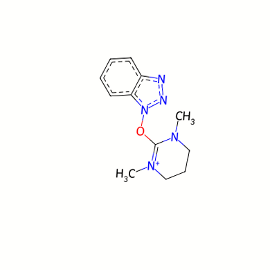 CN1CCC[N+](C)=C1On1nnc2ccccc21